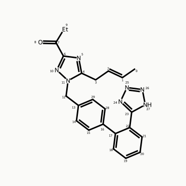 CC=CCc1nc(C(=O)CC)nn1Cc1ccc(-c2ccccc2-c2nnn[nH]2)cc1